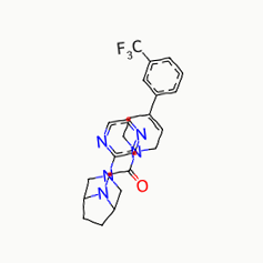 O=C(CN1C2CCC1CN(c1cnccn1)C2)N1CC=C(c2cccc(C(F)(F)F)c2)CC1